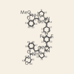 COC(=O)N[C@@H](C(=O)N1CCC[C@H]1c1ncc(C2CCN(c3c(F)cc(-c4cnc([C@@H]5CCCN5C(=O)[C@H](NC(=O)N5CCOCC5)c5ccccc5)[nH]4)cc3F)CC2)[nH]1)c1ccccc1